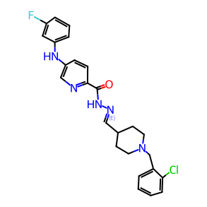 O=C(N/N=C/C1CCN(Cc2ccccc2Cl)CC1)c1ccc(Nc2cccc(F)c2)cn1